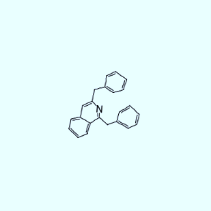 c1ccc(Cc2cc3ccccc3c(Cc3ccccc3)n2)cc1